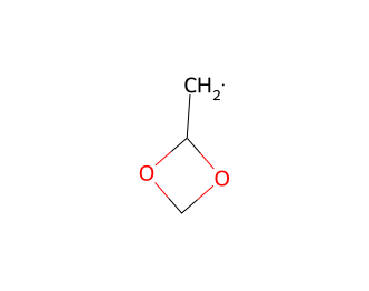 [CH2]C1OCO1